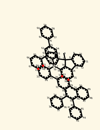 CC1(c2ccccc2)c2ccccc2-c2cccc(N(c3ccccc3-c3ccc4c(c3)c(-c3ccccc3)c(-c3ccccc3)c3ccccc34)c3ccc(-c4ccccc4)cc3-c3ccccc3)c21